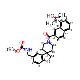 CC(C)(C)OC(=O)NCc1ccc2c(c1)C1(CCN(C(=O)c3ccc4cccc([Si](C)(C)O)c4c3)CC1)CO2